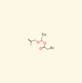 C=C(C)COC(C)OC(=O)CC(C)=O.[Cu]